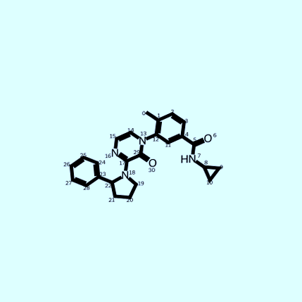 Cc1ccc(C(=O)NC2CC2)cc1-n1ccnc(N2CCCC2c2ccccc2)c1=O